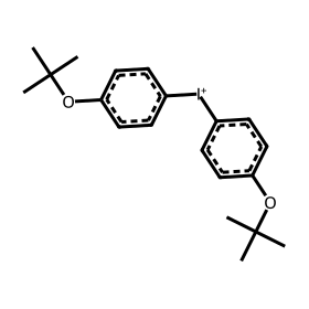 CC(C)(C)Oc1ccc([I+]c2ccc(OC(C)(C)C)cc2)cc1